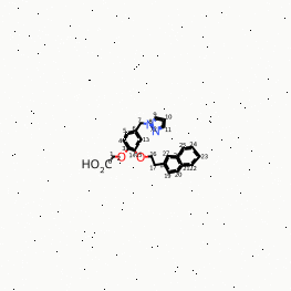 O=C(O)COc1ccc(Cn2cccn2)cc1OCCc1ccc2ccccc2c1